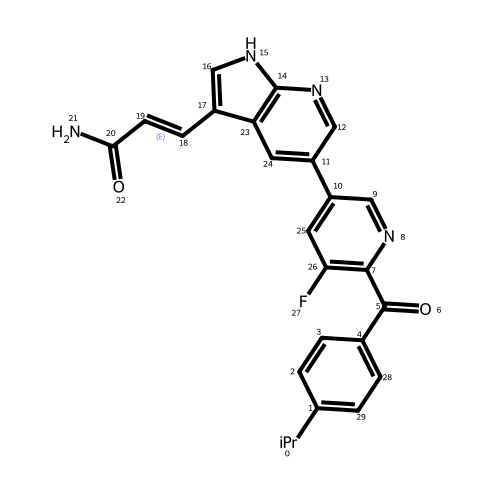 CC(C)c1ccc(C(=O)c2ncc(-c3cnc4[nH]cc(/C=C/C(N)=O)c4c3)cc2F)cc1